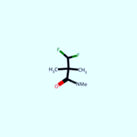 CNC(=O)C(C)(C)C(F)F